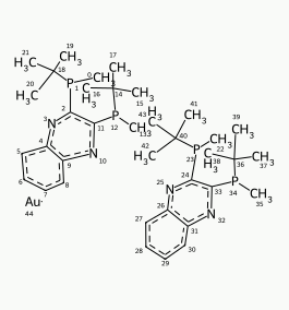 CP(c1nc2ccccc2nc1P(C)C(C)(C)C)C(C)(C)C.CP(c1nc2ccccc2nc1P(C)C(C)(C)C)C(C)(C)C.[Au]